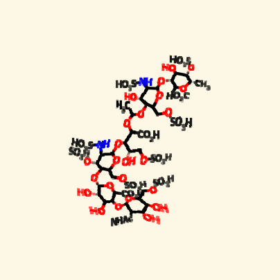 CC(=O)NC1[C@@H](O[C@@H]2C(C(=O)O)O[C@@H](O[C@@H]3C(COS(=O)(=O)O)O[C@H](O[C@H](C(OC(C)O[C@@H]4C(COS(=O)(=O)O)O[C@H](O[C@H]5C(C(=O)O)O[C@@H](C)[C@@H](OS(=O)(=O)O)C5O)C(NS(=O)(=O)O)[C@H]4O)C(=O)O)[C@@H](O)COS(=O)(=O)O)C(NS(=O)(=O)O)[C@H]3OS(=O)(=O)O)[C@@H](O)C2O)OC(COS(=O)(=O)O)[C@@H](O)[C@@H]1O